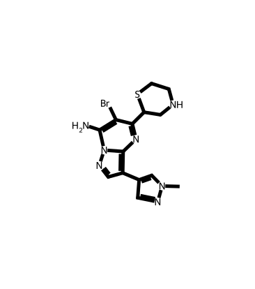 Cn1cc(-c2cnn3c(N)c(Br)c(C4CNCCS4)nc23)cn1